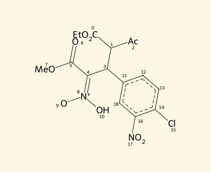 CCOC(=O)C(C(C)=O)C(C(C(=O)OC)=[N+]([O-])O)c1ccc(Cl)c([N+](=O)[O-])c1